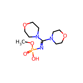 COP(=O)(O)N=C(N1CCOCC1)N1CCOCC1